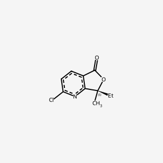 CC[C@]1(C)OC(=O)c2ccc(Cl)nc21